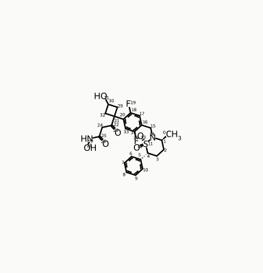 C[C@H]1CC[C@H](c2ccccc2)S(=O)(=O)N1Cc1cc(F)c(C2(C(=O)CC(=O)NO)CC(O)C2)cc1F